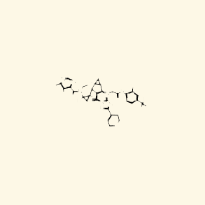 Cc1ncnc(C(=O)N2CC[C@]3(c4c(n(CC(=O)Nc5ccc(C(F)(F)F)cc5Cl)c5nc(C6=CCOCC6)nn5c4=O)[C@@H]4C[C@@H]43)[C@@H]3C[C@@H]32)c1O